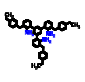 CCc1ccc(Cc2cccc(-c3cc(-c4cccc(Cc5ccc(CC)cc5)c4N)cc(-c4cccc(Cc5ccc(CC)cc5)c4N)c3)c2N)cc1